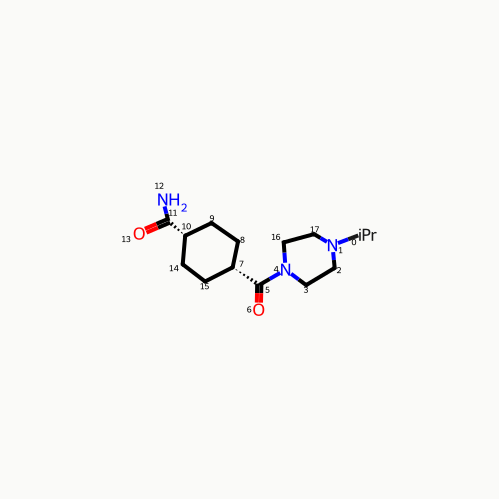 CC(C)N1CCN(C(=O)[C@H]2CC[C@@H](C(N)=O)CC2)CC1